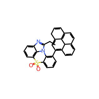 CCc1nc2cccc3c2n1-c1c(C2=C4C=CC=C5C=CC6=C(C(=C2)CC=C6)C54)cccc1S3(=O)=O